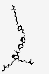 C=CC(=O)OCCCCCCOc1ccc(OCOc2ccc(-c3ccc(OC(=O)c4ccc(OCCCOC(=O)C=C)c(OCCCOC(=O)C=C)c4)cc3)cc2)cc1